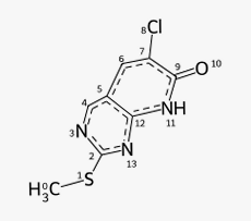 CSc1ncc2cc(Cl)c(=O)[nH]c2n1